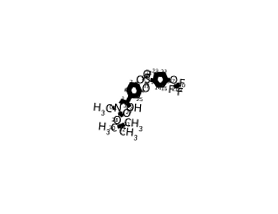 CN(CC(O)c1ccc(OS(=O)(=O)c2ccc(OC(F)(F)F)cc2)cc1)C(=O)OC(C)(C)C